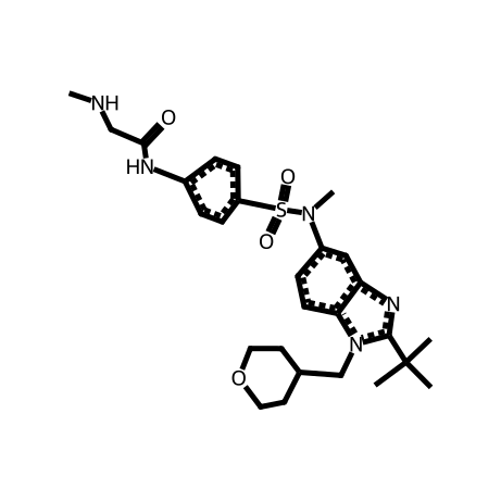 CNCC(=O)Nc1ccc(S(=O)(=O)N(C)c2ccc3c(c2)nc(C(C)(C)C)n3CC2CCOCC2)cc1